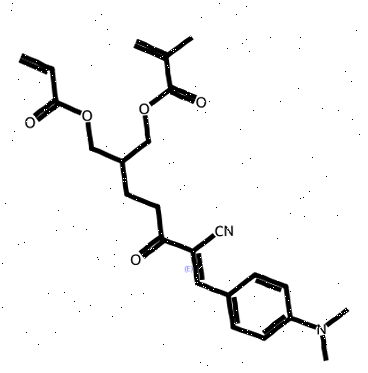 C=CC(=O)OCC(CCC(=O)/C(C#N)=C/c1ccc(N(C)C)cc1)COC(=O)C(=C)C